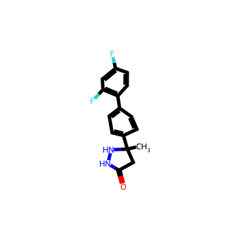 CC1(c2ccc(-c3ccc(F)cc3F)cc2)CC(=O)NN1